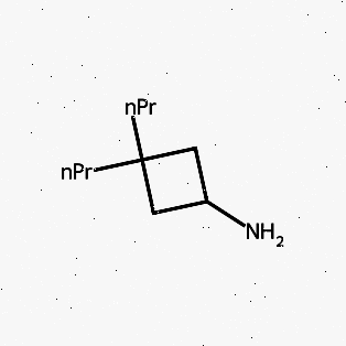 CCCC1(CCC)CC(N)C1